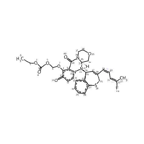 CCOC(=O)OCOc1c2n(ccc1=O)N([C@H]1C=C(/C=C\C=C(/C)F)CSc3ccccc31)[C@@H]1COCCN1C2=O